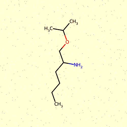 CCCCC(N)COC(C)C